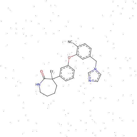 CCC1(c2cccc(Oc3cc(Cn4ccnc4)ccc3C#N)c2)CCCCNC1=O